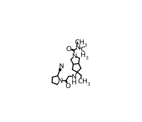 CCC1(NCC(=O)N2CCCC2C#N)CC2CN(C(=O)N(C)C)CC2C1